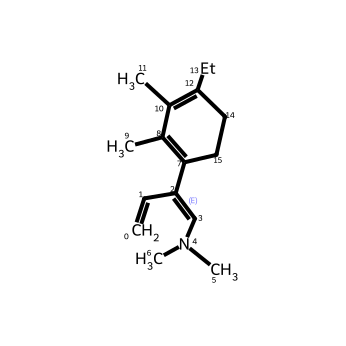 C=C/C(=C\N(C)C)C1=C(C)C(C)=C(CC)CC1